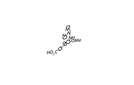 COc1cc2cc(-c3ccc(C(=O)O)cc3)oc2cc1NCCN(Cc1ccccn1)Cc1ccccn1